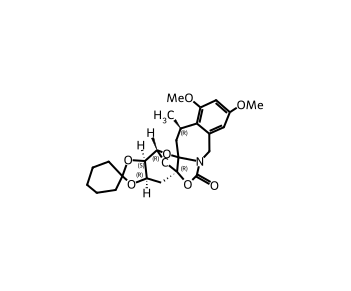 COc1cc2c(c(OC)c1)[C@H](C)CC13O[C@@H]4C[C@]1(C[C@H]1OC5(CCCCC5)O[C@H]14)OC(=O)N3C2